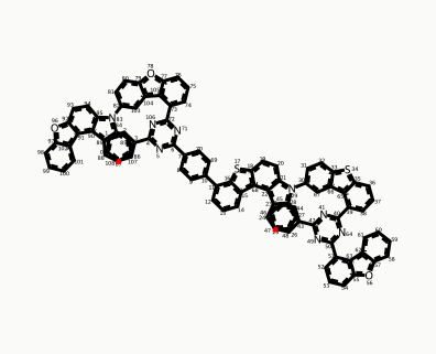 c1ccc(-c2nc(-c3ccc(-c4cccc5c4sc4ccc6c(c7ccccc7n6-c6ccc7sc8cccc(-c9nc(-c%10ccccc%10)nc(-c%10cccc%11oc%12ccccc%12c%10%11)n9)c8c7c6)c45)cc3)nc(-c3cccc4oc5ccc(-n6c7ccccc7c7c8c(ccc76)oc6ccccc68)cc5c34)n2)cc1